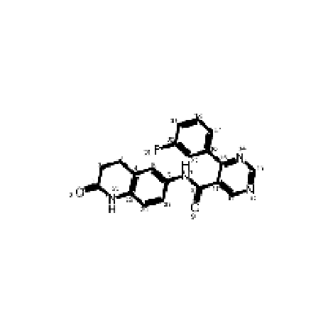 O=C1CCc2cc(NC(=O)c3cncnc3-c3cccc(F)c3)ccc2N1